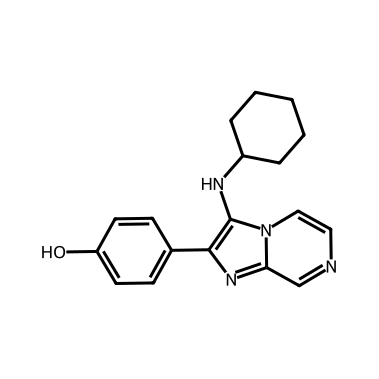 Oc1ccc(-c2nc3cnccn3c2NC2CCCCC2)cc1